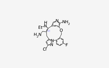 CCN/C1=C(\CN)Cc2cc(Cl)nn2-c2ccc(F)cc2COc2cc1cnc2N